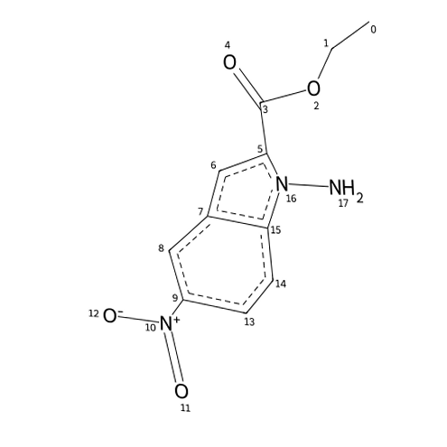 CCOC(=O)c1cc2cc([N+](=O)[O-])ccc2n1N